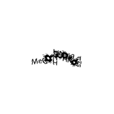 COc1ccc(CNC(=O)CC2CN(C(=O)Nc3ccc(Cl)c(Cl)c3)CCN2)cc1